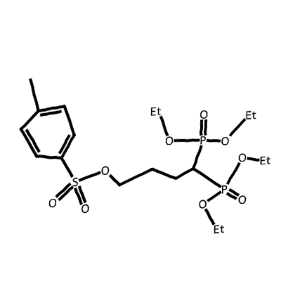 CCOP(=O)(OCC)C(CCCOS(=O)(=O)c1ccc(C)cc1)P(=O)(OCC)OCC